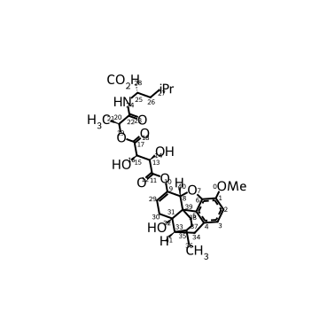 COc1ccc2c3c1O[C@H]1C(OC(=O)[C@H](O)[C@@H](O)C(=O)O[C@@H](C)C(=O)N[C@@H](CC(C)C)C(=O)O)=CC[C@@]4(O)[C@@H](C2)C(C)CCC314